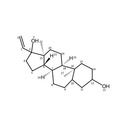 C=CC1(O)CC[C@H]2[C@@H]3CCC4CC(O)CC[C@]4(C)[C@@H]3CC[C@@]21C